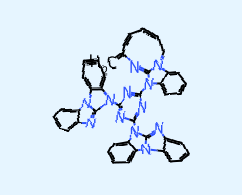 C=C1/C=C\C=C/CN2/C(=N\1)N(c1nc(-n3c4ccccc4n4c5ccccc5nc34)nc(-n3c4ccccc4n4c5ccccc5nc34)n1)c1ccccc12